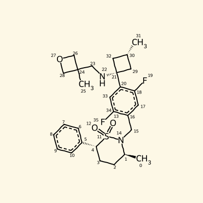 C[C@H]1CC[C@H](c2ccccc2)S(=O)(=O)N1Cc1cc(F)c([C@]2(NCC3(C)COC3)C[C@@H](C)C2)cc1F